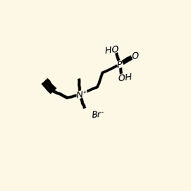 C#CC[N+](C)(C)CCP(=O)(O)O.[Br-]